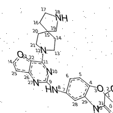 CC1(C)Oc2ccc(Nc3nc(N4CCC5(CCNC5)CC4)c4occc4n3)cc2NC1=O